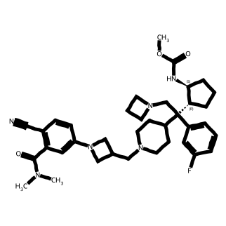 COC(=O)N[C@H]1CCC[C@@H]1C(CN1CCC1)(c1cccc(F)c1)C1CCN(CC2CN(c3ccc(C#N)c(C(=O)N(C)C)c3)C2)CC1